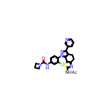 CC(=O)Nc1nc2c(s1)-c1c(c(-c3cccnc3)nn1-c1ccc(NC(=O)N3CCC3)cc1Cl)CC2